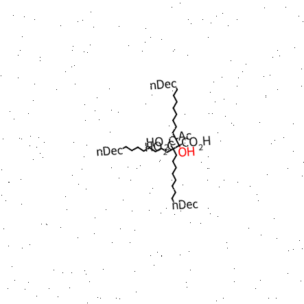 CCCCCCCCCCCCCCCCCCC(CCCCCCCCCCCCCCCCCC)(C(=O)O)C(O)(C(=O)O)C(CCCCCCCCCCCCCCCCCC)(C(C)=O)C(=O)O